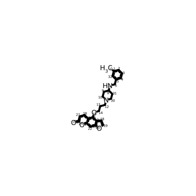 Cc1cccc(CNC2CCN(CCCOc3c4ccoc4cc4oc(=O)ccc34)CC2)c1